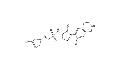 O=C1[C@@H](NS(=O)(=O)/C=C/C2CC=C(Cl)S2)CCN1c1cc2c(cc1Cl)CNCC2